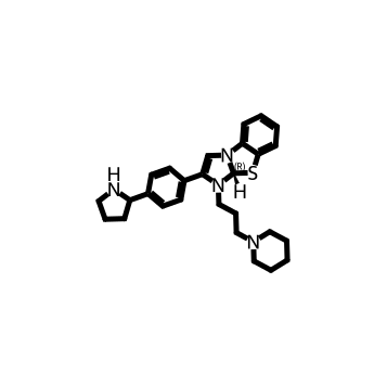 C1=C(c2ccc(C3CCCN3)cc2)N(CCCN2CCCCC2)[C@H]2Sc3ccccc3N12